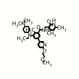 CCN(c1cc(-c2ccc(OCCOC)nc2)cc(C(=O)NCc2c(C)cc(C)[nH]c2=O)c1C)[C@H]1CC[C@H](N(C)C)CC1